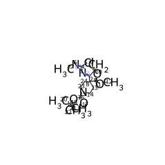 C=C/C(=N\C(Cl)=N/C)C1(C(=O)OC)CCN(C(=O)OC(C)(C)C)CC1